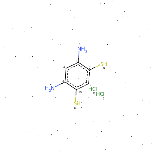 Cl.Cl.Nc1cc(N)c(S)cc1S